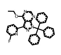 CCOc1ncnc2c1c(-c1cccc(F)n1)nn2C(c1ccccc1)(c1ccccc1)c1ccccc1